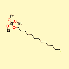 CCO[Si](OCC)(OCC)OCCCCCCCCCCCCCF